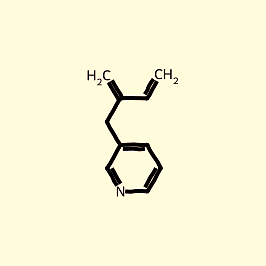 C=CC(=C)Cc1cccnc1